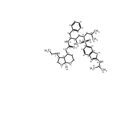 CCNC1CO[C@@H]2OCC[C@H](OC(=O)N[C@@H](Cc3ccccc3)[C@H](O)CN(CC(C)C)S(=O)(=O)c3ccc4nc(NC(C)C)sc4c3)C12